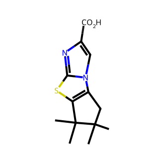 CC1(C)Cc2c(sc3nc(C(=O)O)cn23)C1(C)C